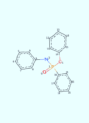 O=P([N]c1ccccc1)(Oc1ccccc1)c1ccccc1